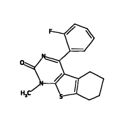 Cn1c(=O)nc(-c2ccccc2F)c2c3c(sc21)CCCC3